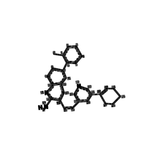 Cc1ccccc1-c1ccc2nc(N)c(/C=C\c3cncc(C4=CCCCC4)c3)cc2c1